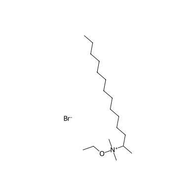 CCCCCCCCCCCCC(C)[N+](C)(C)OCC.[Br-]